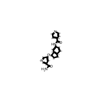 NC(=O)c1cncc(O[C@H]2CCc3ccc(NC(=O)c4ccncc4)cc32)c1